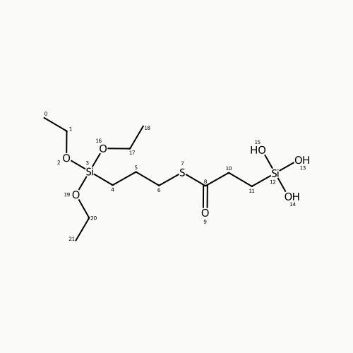 CCO[Si](CCCSC(=O)CC[Si](O)(O)O)(OCC)OCC